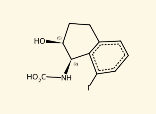 O=C(O)N[C@@H]1c2c(I)cccc2CC[C@@H]1O